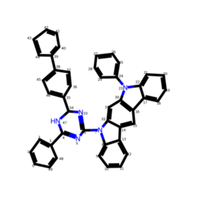 c1ccc(C2=NC(n3c4ccccc4c4cc5c6ccccc6n(-c6ccccc6)c5cc43)=NC(c3ccc(-c4ccccc4)cc3)N2)cc1